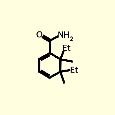 CCC1(C)C=CC=C(C(N)=O)C1(C)CC